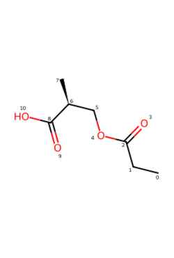 CCC(=O)OC[C@H](C)C(=O)O